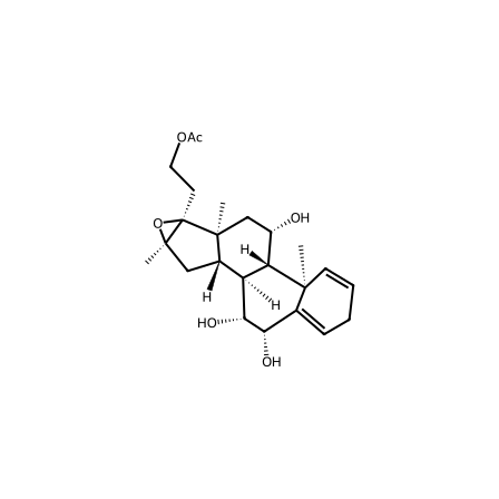 CC(=O)OCC[C@@]12O[C@]1(C)C[C@H]1[C@@H]3[C@@H](O)[C@@H](O)C4=CCC=C[C@]4(C)[C@H]3[C@@H](O)C[C@@]12C